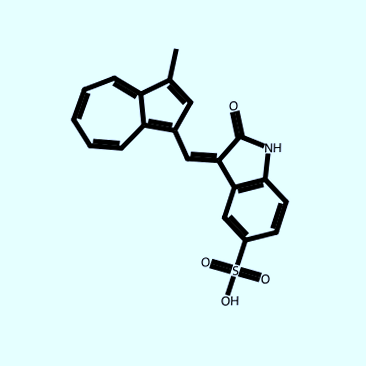 Cc1cc(C=C2C(=O)Nc3ccc(S(=O)(=O)O)cc32)c2cccccc1-2